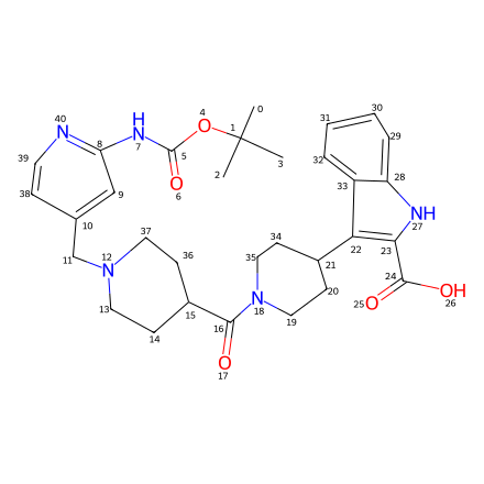 CC(C)(C)OC(=O)Nc1cc(CN2CCC(C(=O)N3CCC(c4c(C(=O)O)[nH]c5ccccc45)CC3)CC2)ccn1